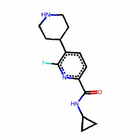 O=C(NC1CC1)c1ccc(C2CCNCC2)c(F)n1